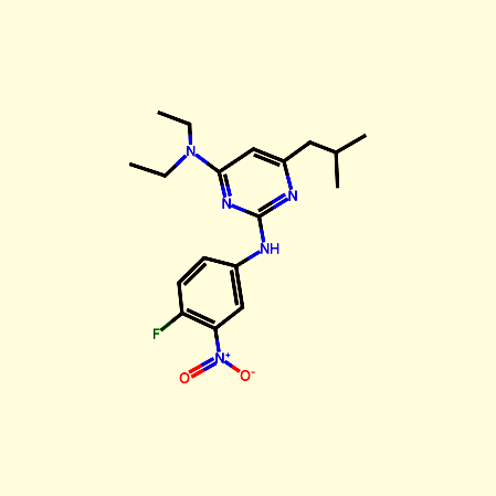 CCN(CC)c1cc(CC(C)C)nc(Nc2ccc(F)c([N+](=O)[O-])c2)n1